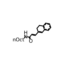 CCCCCCCCNC(=O)/C=C/C1=Cc2ccccc2CC1